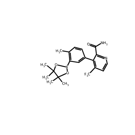 Cc1ccc(-c2c(C(F)(F)F)ccnc2C(N)=O)cc1B1OC(C)(C)C(C)(C)O1